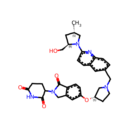 C[C@H]1C[C@H](CO)N(c2ccc3cc(CN4CC[C@H](Oc5ccc6c(c5)CN(C5CCC(=O)NC5=O)C6=O)C4)ccc3n2)C1